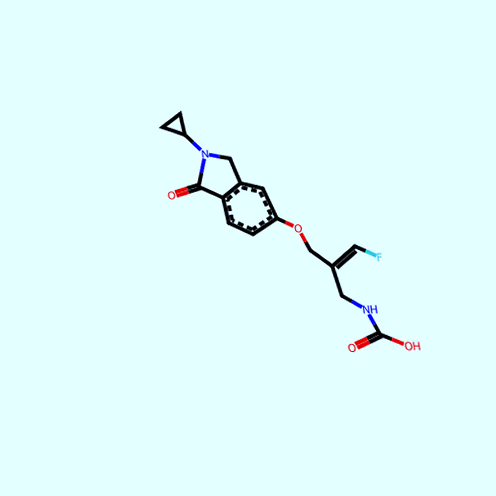 O=C(O)NCC(=CF)COc1ccc2c(c1)CN(C1CC1)C2=O